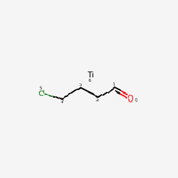 O=CCCCCl.[Ti]